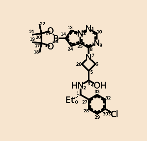 CC[C@H](NC(O)C1CN(c2ncnn3cc(B4OC(C)(C)C(C)(C)O4)cc23)C1)c1ccc(Cl)cc1